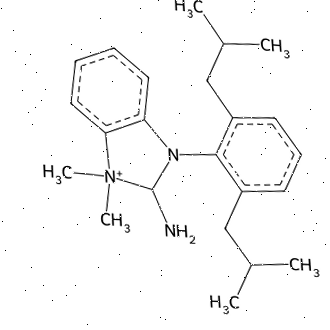 CC(C)Cc1cccc(CC(C)C)c1N1c2ccccc2[N+](C)(C)C1N